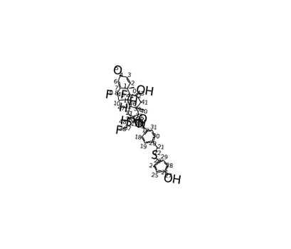 C[C@]12C=CC(=O)C=C1[C@@H](F)C[C@H]1[C@@H]3C[C@H]4CN(c5ccc(CSc6ccc(O)cc6)cc5)O[C@@]4(C(=O)SCF)[C@@]3(C)C[C@H](O)[C@@]12F